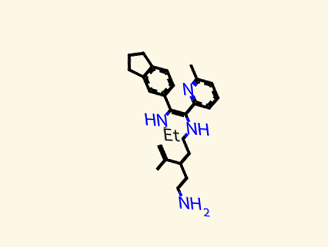 C=C(C)C(CCN)CCN/C(=C(\NCC)c1ccc2c(c1)CCC2)c1cccc(C)n1